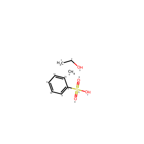 C.CCO.O=S(=O)(O)c1ccccc1